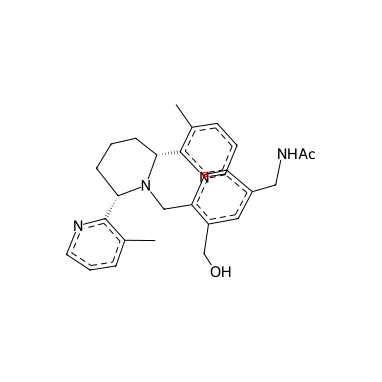 CC(=O)NCc1ccc(CN2[C@@H](c3ncccc3C)CCC[C@H]2c2ncccc2C)c(CO)c1